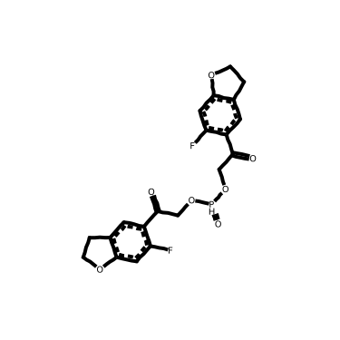 O=C(CO[PH](=O)OCC(=O)c1cc2c(cc1F)OCC2)c1cc2c(cc1F)OCC2